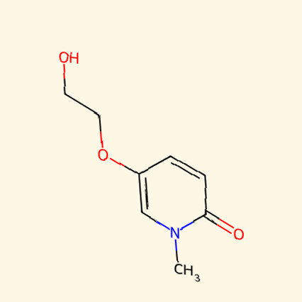 Cn1cc(OCCO)ccc1=O